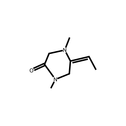 C/C=C1\CN(C)C(=O)CN1C